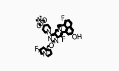 C#Cc1c(F)ccc2cc(O)cc(-c3ncc4c(N5CCC(S(=O)(=O)N(C)C)CC5)nc(OC[C@@]56CCCN5C[C@H](F)C6)nc4c3F)c12